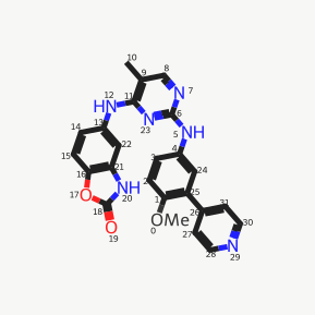 COc1ccc(Nc2ncc(C)c(Nc3ccc4oc(=O)[nH]c4c3)n2)cc1-c1ccncc1